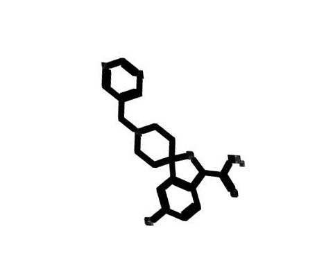 NC(=O)C1OC2(CCN(Cc3cncnc3)CC2)c2cc(Cl)ccc21